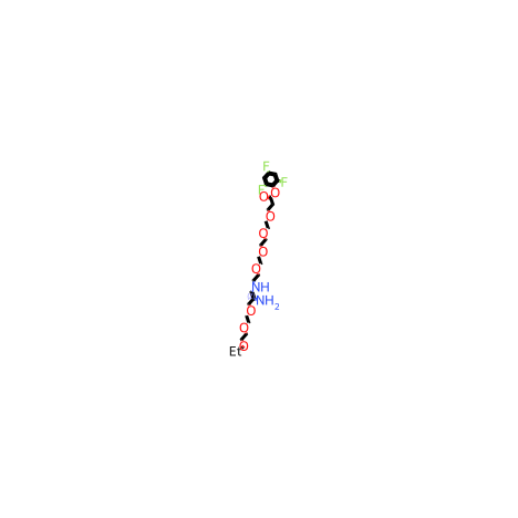 CCOCCOCCOC/C(N)=C/NCCOCCOCCOCCOCCC(=O)Oc1c(F)cc(F)cc1F